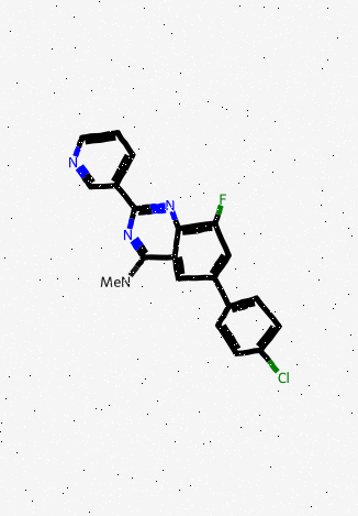 CNc1nc(-c2cccnc2)nc2c(F)cc(-c3ccc(Cl)cc3)cc12